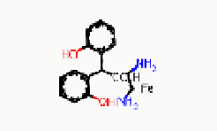 NCCN.O=C(O)C(c1ccccc1O)c1ccccc1O.[Fe]